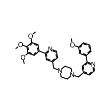 COc1cccc(-c2cc(CN3CCN(Cc4ccnc(-c5cc(OC)c(OC)c(OC)c5)c4)CC3)ccn2)c1